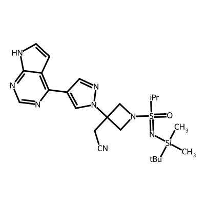 CC(C)S(=O)(=N[Si](C)(C)C(C)(C)C)N1CC(CC#N)(n2cc(-c3ncnc4[nH]ccc34)cn2)C1